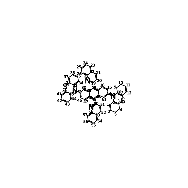 C1=CC2=C(CC1)SC1=C(CCC=C1)N2c1ccc2c(-c3ccc4ccccc4n3)c3cc(N4c5ccccc5Sc5ccccc54)ccc3c(-c3ccc4ccccc4n3)c2c1